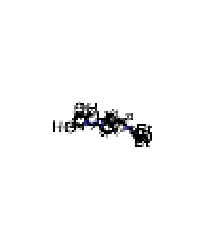 C=C1/C(=C\C=C2/CCC[C@]3(C)[C@@H]([C@H](C)/C=C/CP(=O)(CC)CC)CC[C@@H]23)C[C@@H](O)C[C@@H]1O